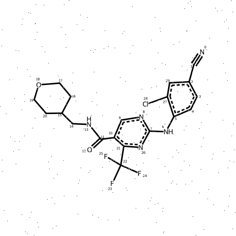 N#Cc1ccc(Nc2ncc(C(=O)NCC3CCOCC3)c(C(F)(F)F)n2)c(Cl)c1